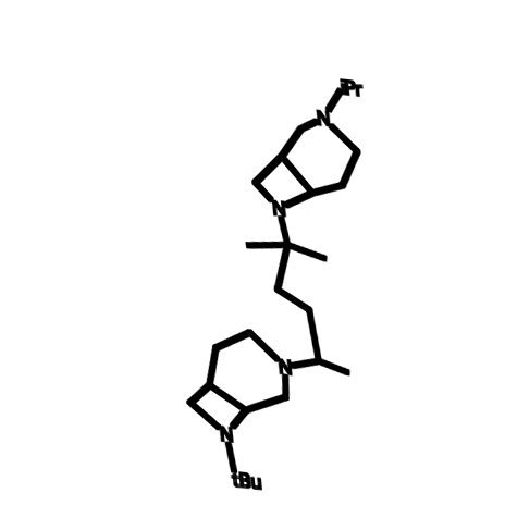 CC(C)N1CCC2C(C1)CN2C(C)(C)CCC(C)N1CCC2CN(C(C)(C)C)C2C1